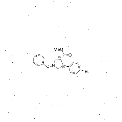 CCc1ccc([C@H]2CN(Cc3ccccc3)C[C@@H]2C(=O)OC)cc1